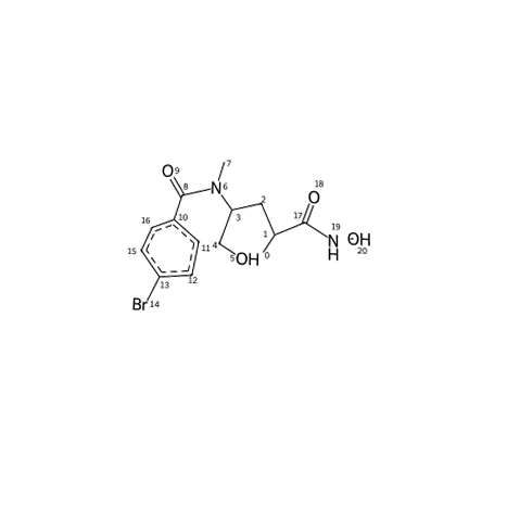 CC(CC(CO)N(C)C(=O)c1ccc(Br)cc1)C(=O)NO